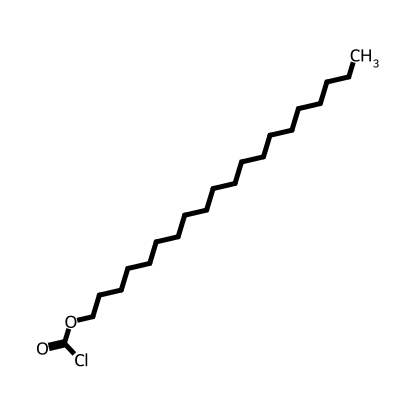 CCCCCCCCCCCCCCCCCCCCOC(=O)Cl